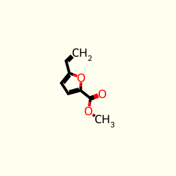 C=Cc1ccc(C(=O)OC)o1